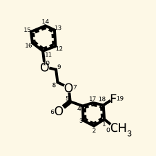 Cc1ccc(C(=O)OCCOc2ccccc2)cc1F